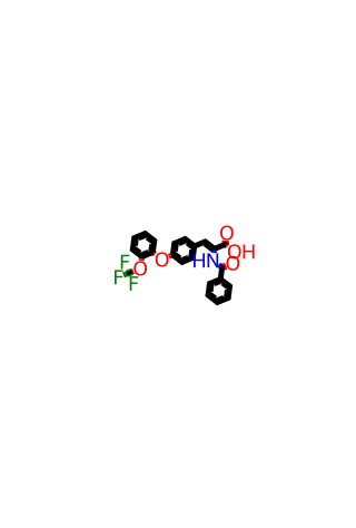 O=C(O)C(=Cc1ccc(Oc2ccccc2OC(F)(F)F)cc1)NC(=O)c1ccccc1